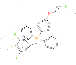 FCCOc1ccc([PH](Cc2cc(F)c(F)c(F)c2)(c2ccccc2)c2ccccc2)cc1